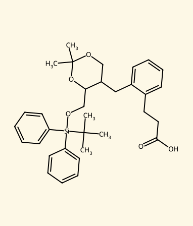 CC1(C)OCC(Cc2ccccc2CCC(=O)O)C(CO[Si](c2ccccc2)(c2ccccc2)C(C)(C)C)O1